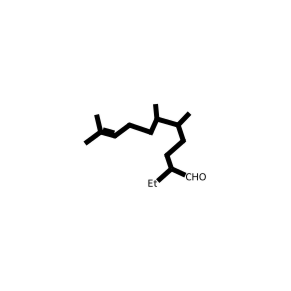 CCC(C=O)CCC(C)C(C)CCC=C(C)C